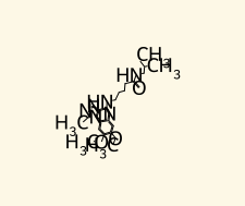 CCC(C)CNC(=O)CCCCNc1nc2cc(OC)c(OC)cc2n2c(C)nnc12